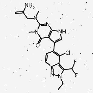 C=C(N)CN(C)c1nc2[nH]cc(-c3ccc4nn(CC)c(C(F)F)c4c3Cl)c2c(=O)n1C